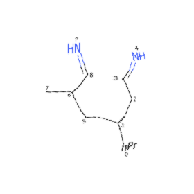 CCCC(CC=N)CC(C)C=N